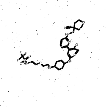 N#CC1(CNc2cccc(-c3cc(NC4CCC(NCCOCCNS(=O)(=O)C(F)(F)F)CC4)ncc3Cl)n2)CCOCC1